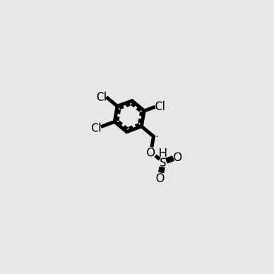 O=[SH](=O)O[CH]c1cc(Cl)c(Cl)cc1Cl